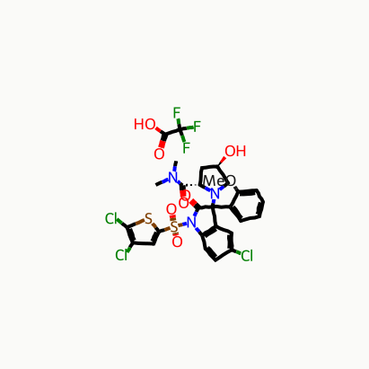 COc1ccccc1C1(N2C[C@H](O)C[C@H]2C(=O)N(C)C)C(=O)N(S(=O)(=O)c2cc(Cl)c(Cl)s2)c2ccc(Cl)cc21.O=C(O)C(F)(F)F